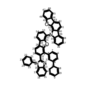 C1=CCC(c2cccc(-c3c(-c4nc5ccccc5n4-c4ccccc4)ccc4c3oc3c(-n5c6ccccc6c6ccc7c8ccccc8oc7c65)cccc34)c2)C=C1